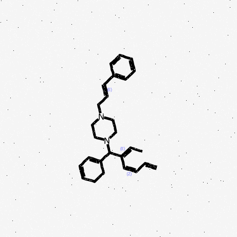 C=C/C=C\C(=C/C)C(C1=CC=CCC1)N1CCN(C/C=C/c2ccccc2)CC1